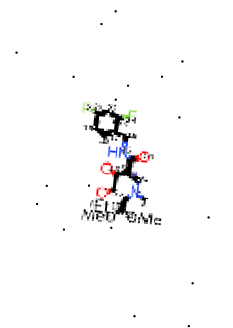 CCOCC(=O)/C(=C\N(C)CC(OC)OC)C(=O)NCc1ccc(F)cc1F